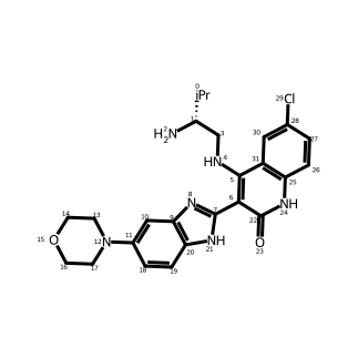 CC(C)[C@@H](N)CNc1c(-c2nc3cc(N4CCOCC4)ccc3[nH]2)c(=O)[nH]c2ccc(Cl)cc12